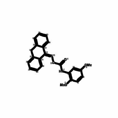 COc1ccc(OC)c(NC(=O)ON=C2c3ccccc3Cc3ccccc32)c1